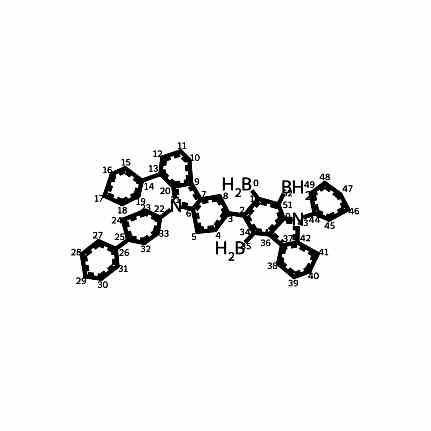 Bc1c(-c2ccc3c(c2)c2cccc(-c4ccccc4)c2n3-c2ccc(-c3ccccc3)cc2)c(B)c2c3ccccc3n(-c3ccccc3)c2c1B